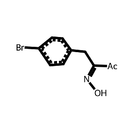 CC(=O)C(Cc1ccc(Br)cc1)=NO